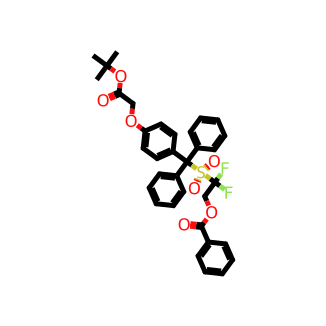 CC(C)(C)OC(=O)COc1ccc(C(c2ccccc2)(c2ccccc2)S(=O)(=O)C(F)(F)COC(=O)c2ccccc2)cc1